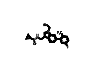 CC(C)(C)Cn1cc(CN[S+]([O-])C2CC2)c2ccc(-c3cc(F)ccc3C(F)(F)F)cc21